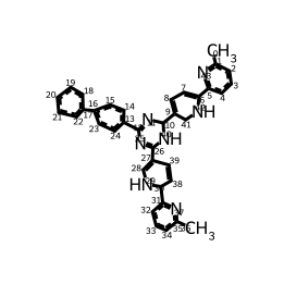 Cc1cccc(C2=CC=C(C3N=C(c4ccc(-c5ccccc5)cc4)N=C(C4=CNC(c5cccc(C)n5)C=C4)N3)CN2)n1